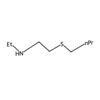 CCCCSCCNCC